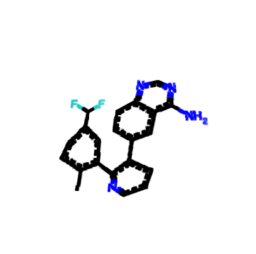 Cc1ccc(C(F)F)cc1-c1ncccc1-c1ccc2ncnc(N)c2c1